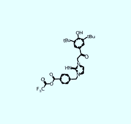 CC(C)(C)c1cc(C(=O)Cn2ccn(Cc3ccc(C(=O)OC(=O)C(F)(F)F)cc3)c2=N)cc(C(C)(C)C)c1O